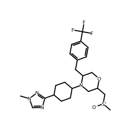 Cn1cnc(C2CCC(N3CC(C[S+](C)[O-])OCC3Cc3ccc(C(F)(F)F)cc3)CC2)n1